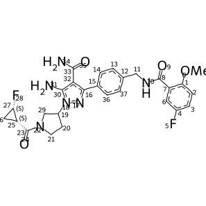 COc1ccc(F)cc1C(=O)NCc1ccc(-c2nn(C3CCN(C(=O)[C@@H]4C[C@@H]4F)C3)c(N)c2C(N)=O)cc1